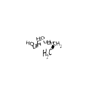 C=C.O=C(O)O.[LiH].[LiH].[LiH]